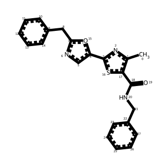 Cc1nc(-c2cnc(Cc3ccccc3)o2)sc1C(=O)NCc1ccccc1